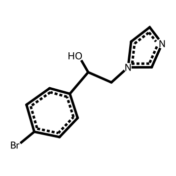 OC(Cn1ccnc1)c1ccc(Br)cc1